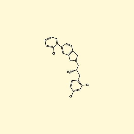 N[C@H](Cc1ccc(Cl)cc1Cl)CN1Cc2ccc(-c3ccccc3Cl)cc2C1